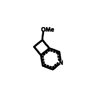 COC1Cc2ccncc21